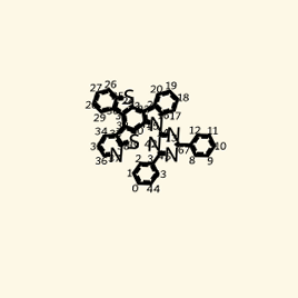 c1ccc(-c2nc(-c3ccccc3)nc(-n3c4ccccc4c4c5sc6ccccc6c5c5c6cccnc6sc5c43)n2)cc1